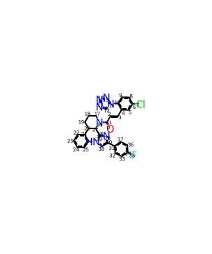 O=C(C=Cc1cc(Cl)ccc1-n1cnnn1)N1CCCC(c2ccccc2)C1c1nc(-c2ccc(F)cc2)c[nH]1